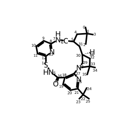 CC(C)(C)CC1CNc2cccc(n2)SNC(=O)c2ccc(C(C)(C)C)nc2N2C[C@@H](C1)CC2(C)C